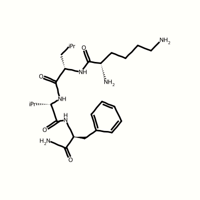 CC(C)C[C@H](NC(=O)[C@@H](N)CCCCN)C(=O)N[C@H](C(=O)N[C@@H](Cc1ccccc1)C(N)=O)C(C)C